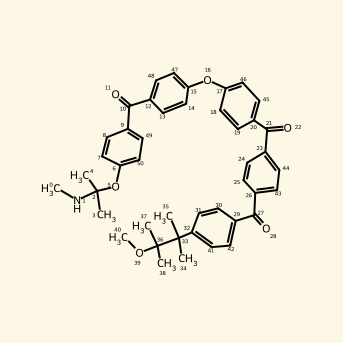 CNC(C)(C)Oc1ccc(C(=O)c2ccc(Oc3ccc(C(=O)c4ccc(C(=O)c5ccc(C(C)(C)C(C)(C)OC)cc5)cc4)cc3)cc2)cc1